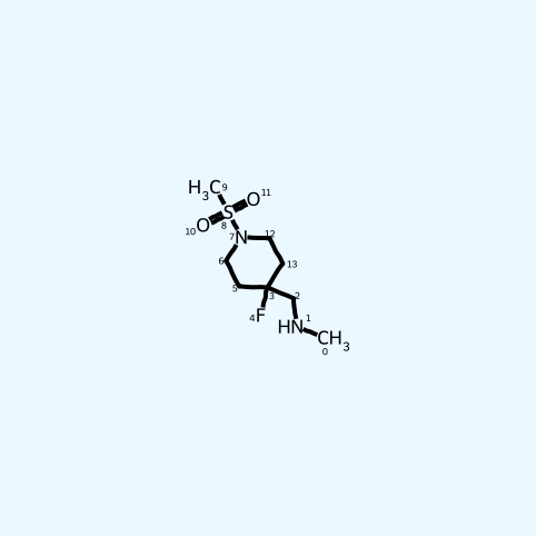 CNCC1(F)CCN(S(C)(=O)=O)CC1